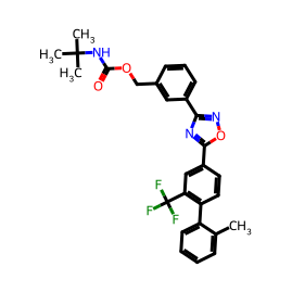 Cc1ccccc1-c1ccc(-c2nc(-c3cccc(COC(=O)NC(C)(C)C)c3)no2)cc1C(F)(F)F